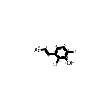 CC(=O)/C=C/c1ccc(I)c(O)c1I